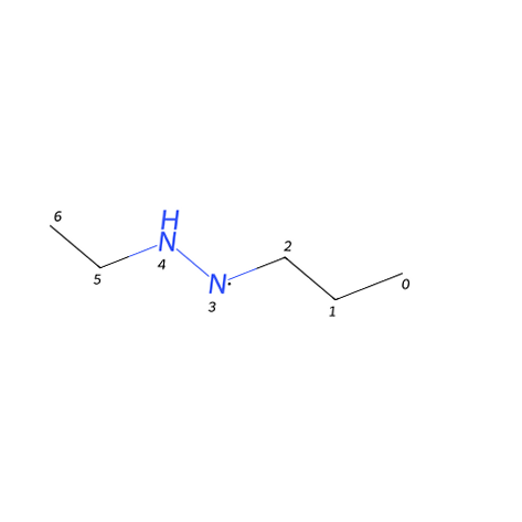 CCC[N]NCC